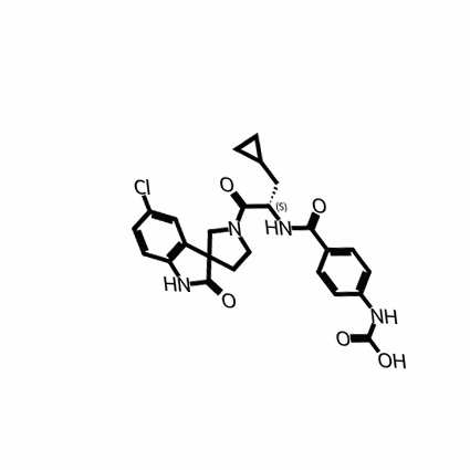 O=C(O)Nc1ccc(C(=O)N[C@@H](CC2CC2)C(=O)N2CCC3(C2)C(=O)Nc2ccc(Cl)cc23)cc1